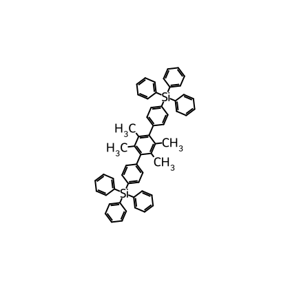 Cc1c(C)c(-c2ccc([Si](c3ccccc3)(c3ccccc3)c3ccccc3)cc2)c(C)c(C)c1-c1ccc([Si](c2ccccc2)(c2ccccc2)c2ccccc2)cc1